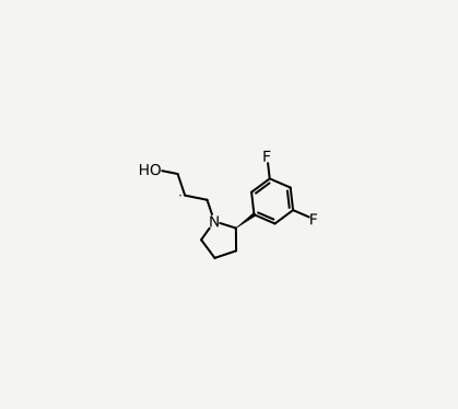 OC[CH]CN1CCC[C@@H]1c1cc(F)cc(F)c1